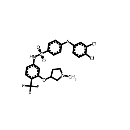 CN1CCC(Oc2cc(NS(=O)(=O)c3ccc(Sc4ccc(Cl)c(Cl)c4)cc3)ccc2C(F)(F)F)C1